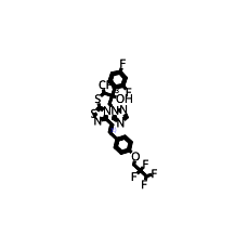 CC(Sc1nc(/C=C/c2ccc(OCC(F)(F)C(F)F)cc2)ns1)C(O)(Cn1cncn1)c1ccc(F)cc1F